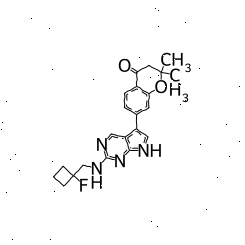 CC1(C)CC(=O)c2ccc(-c3c[nH]c4nc(NCC5(F)CCC5)ncc34)cc2O1